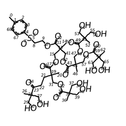 Cc1ccc(S(=O)(=O)CCOC(=O)C(C)(COC(=O)C(C)(CCC(=O)C(C)(CO)CO)COC(=O)C(C)(CO)CO)COC(=O)C(C)(COC(=O)C(C)(CO)CO)COC(=O)C(C)(CO)CO)cc1